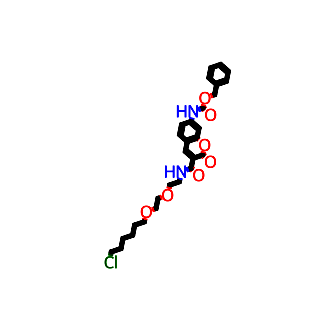 O=C(Nc1ccc2cc(C(=O)NCCOCCOCCCCCCCl)c(=O)oc2c1)OCc1ccccc1